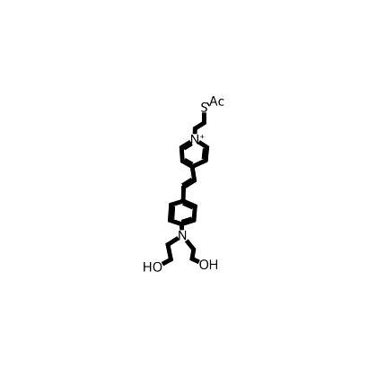 CC(=O)SCC[n+]1ccc(/C=C/c2ccc(N(CCO)CCO)cc2)cc1